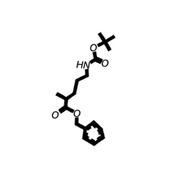 CC(CCCNC(=O)OC(C)(C)C)C(=O)OCc1ccccc1